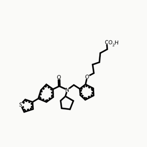 O=C(O)CCCCCOc1ccccc1CN(C(=O)c1ccc(-c2ccsc2)cc1)C1CCCC1